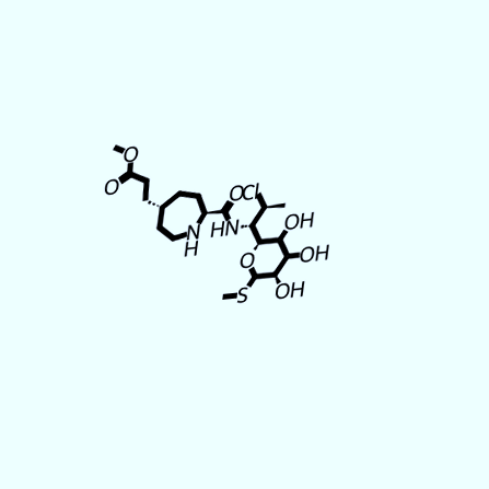 COC(=O)CC[C@H]1CCN[C@H](C(=O)N[C@H]([C@H](C)Cl)[C@H]2OC(SC)[C@H](O)C(O)C2O)CC1